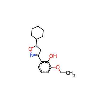 CCOc1cccc(C2=NOC(C3CCCCC3)C2)c1O